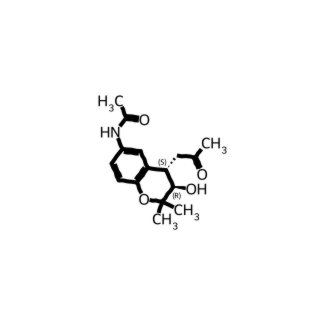 CC(=O)C[C@H]1c2cc(NC(C)=O)ccc2OC(C)(C)[C@@H]1O